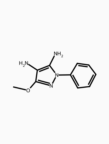 COc1nn(-c2ccccc2)c(N)c1N